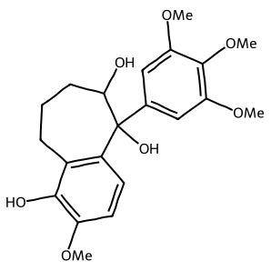 COc1ccc2c(c1O)CCCC(O)C2(O)c1cc(OC)c(OC)c(OC)c1